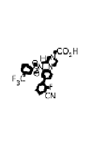 N#Cc1cccc(-c2ccc3c(c2)N(S(=O)(=O)c2cccc(C(F)(F)F)c2)C[C@@H]2CN(CC(=O)O)CCN32)c1F